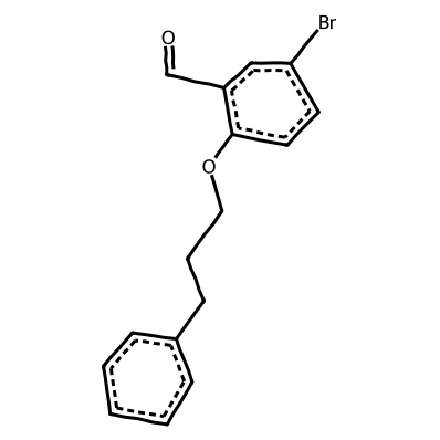 O=Cc1cc(Br)ccc1OCCCc1ccccc1